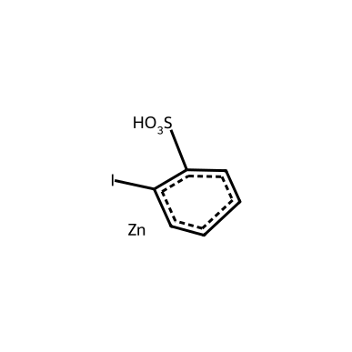 O=S(=O)(O)c1ccccc1I.[Zn]